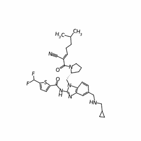 CC(C)CC/C=C(\C#N)C(=O)N1CCC[C@@H]1Cn1c(NC(=O)c2ccc(C(F)F)s2)nc2cc(CNCC3CC3)ccc21